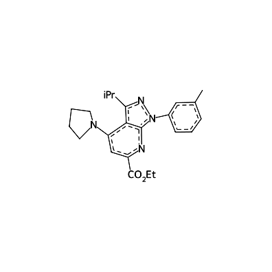 CCOC(=O)c1cc(N2CCCC2)c2c(C(C)C)nn(-c3cccc(C)c3)c2n1